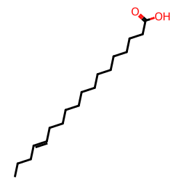 CCC/C=C/CCCCCCCCCCCCC(=O)O